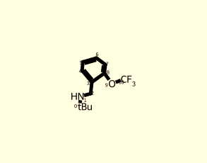 CC(C)(C)NCc1ccccc1OC(F)(F)F